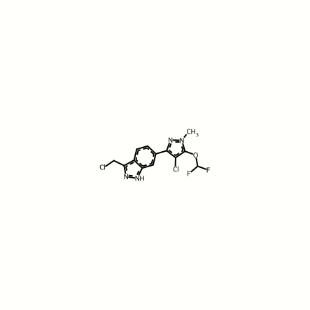 Cn1nc(-c2ccc3c(CCl)n[nH]c3c2)c(Cl)c1OC(F)F